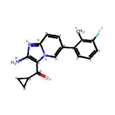 Cc1c(F)cccc1-c1ccc2nc(N)c(C(=O)C3CC3)n2c1